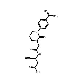 C#CC(CC(=O)O)NC(=O)CC1CCCN(c2ccc(C(=N)N)cc2)C1=O